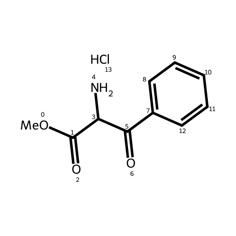 COC(=O)C(N)C(=O)c1ccccc1.Cl